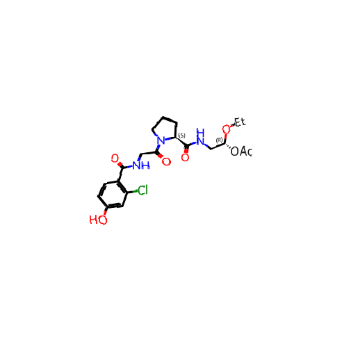 CCO[C@@H](CNC(=O)[C@@H]1CCCN1C(=O)CNC(=O)c1ccc(O)cc1Cl)OC(C)=O